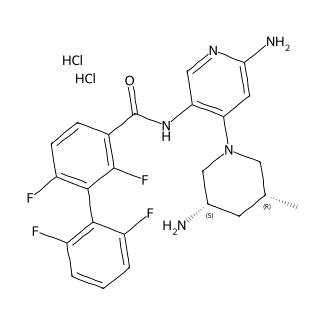 C[C@@H]1C[C@H](N)CN(c2cc(N)ncc2NC(=O)c2ccc(F)c(-c3c(F)cccc3F)c2F)C1.Cl.Cl